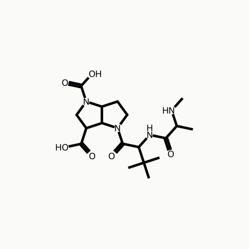 CNC(C)C(=O)NC(C(=O)N1CCC2C1C(C(=O)O)CN2C(=O)O)C(C)(C)C